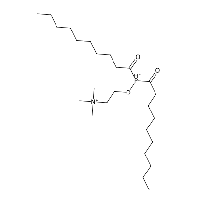 CCCCCCCCCC(=O)[PH-](OCC[N+](C)(C)C)C(=O)CCCCCCCCC